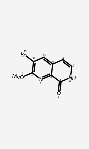 COc1nc2c(=O)[nH]ccc2cc1Br